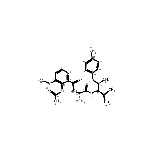 COc1ccnc(C(=S)N[C@@H](C)C(=O)OC(C(C)C)[C@H](C)Oc2ccc(C)cc2)c1OC(C)=O